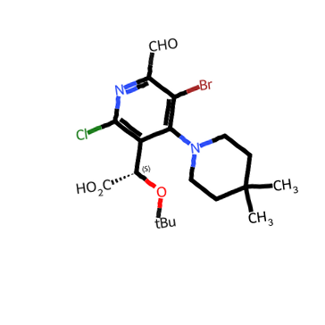 CC1(C)CCN(c2c(Br)c(C=O)nc(Cl)c2[C@H](OC(C)(C)C)C(=O)O)CC1